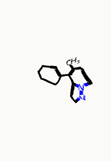 Cc1ccn2nccc2c1C1=CCCCC1